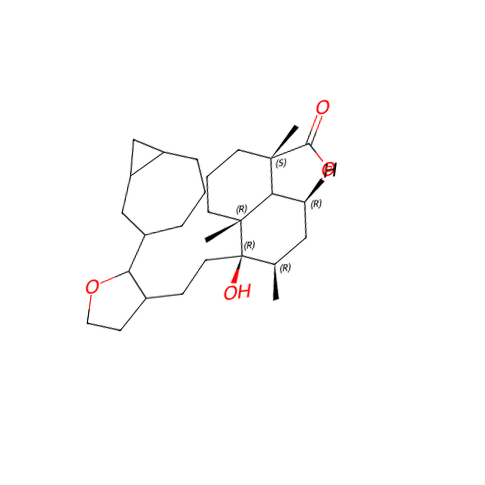 C[C@@H]1C[C@H]2OC(=O)[C@@]3(C)CCC[C@](C)(C23)[C@@]1(O)CCC1CCOC1C1CCCC2CC2C1